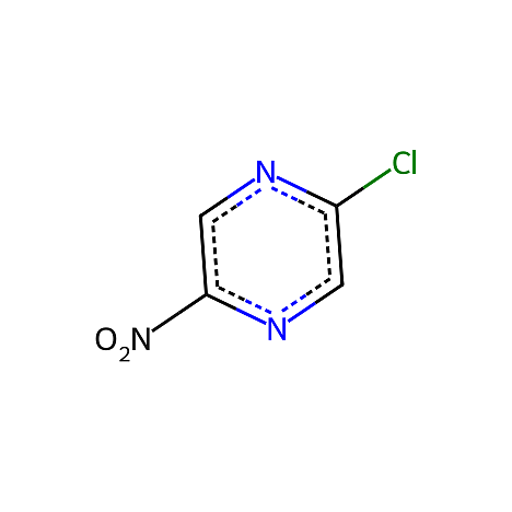 O=[N+]([O-])c1cnc(Cl)cn1